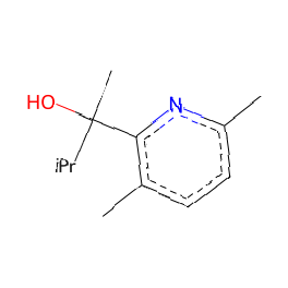 Cc1ccc(C)c(C(C)(O)C(C)C)n1